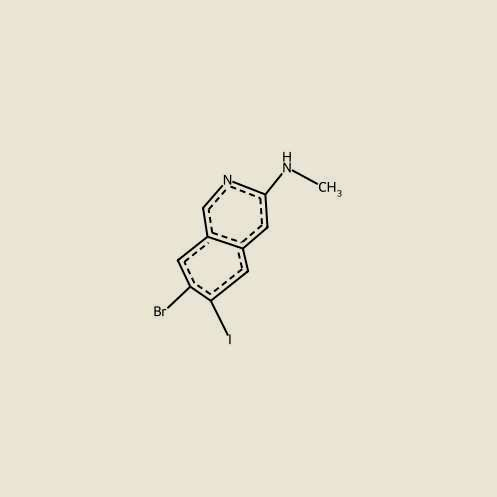 CNc1cc2cc(I)c(Br)cc2cn1